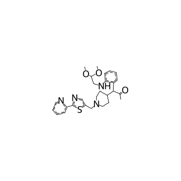 COC(CNc1ccccc1C(C(C)=O)C1CCN(Cc2cnc(-c3ccccn3)s2)CC1)OC